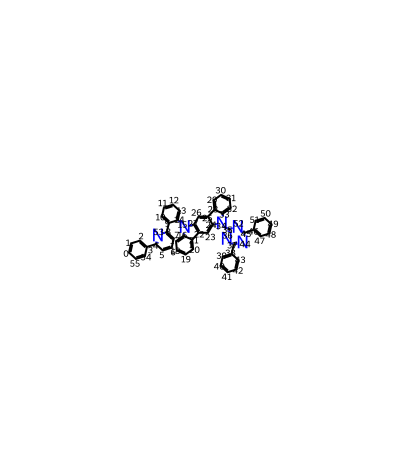 c1ccc(-c2cccc(-c3ccccc3-n3c4ccccc4c4cc5c(cc43)c3ccccc3n5-c3nc(-c4ccccc4)nc(-c4ccccc4)n3)n2)cc1